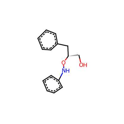 OC[C@@H](Cc1ccccc1)ONc1ccccc1